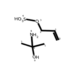 C=CCOS(=O)(=O)O.CC(C)(N)O